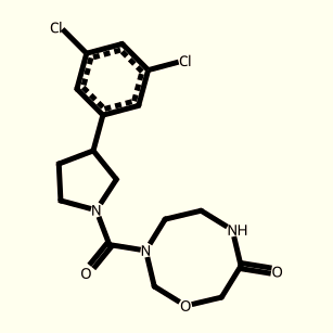 O=C1COCN(C(=O)N2CCC(c3cc(Cl)cc(Cl)c3)C2)CCN1